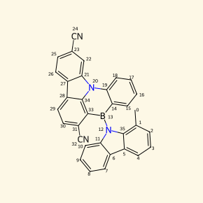 Cc1cccc2c3ccccc3n(B3c4ccccc4-n4c5cc(C#N)ccc5c5ccc(C#N)c3c54)c12